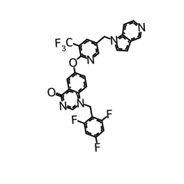 O=c1ncn(Cc2c(F)cc(F)cc2F)c2ccc(Oc3ncc(Cn4ccc5cnccc54)cc3C(F)(F)F)cc12